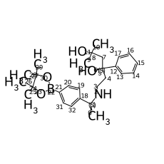 C[C@H](NCC[C@](O)(CC(C)(C)O)c1ccccc1)c1ccc(B2OC(C)(C)C(C)(C)O2)cc1